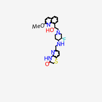 COc1ccc2cccc([C@@H](O)CN3CC[C@H](NCc4ccc5c(n4)NC(=O)CS5)[C@H](F)C3)c2n1